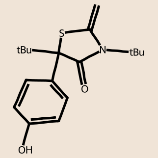 C=C1SC(c2ccc(O)cc2)(C(C)(C)C)C(=O)N1C(C)(C)C